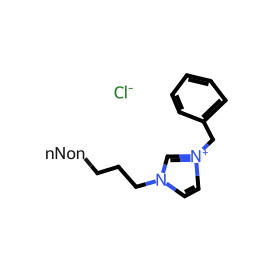 CCCCCCCCCCCCn1cc[n+](Cc2ccccc2)c1.[Cl-]